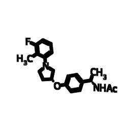 CC(=O)N[C@@H](C)c1ccc(O[C@@H]2CCN(c3cccc(F)c3C)C2)cc1